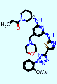 C=CC(=O)N1CCC[C@H](Nc2cc(CN3CCOCC3)cc(Nc3ncc(-c4nnn(-c5ccccc5OC)n4)s3)n2)C1